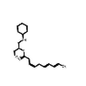 C/C=C/C=C/C/C=C\CC(=O)OC(CNC1CCCCC1)CS(=O)(=O)O